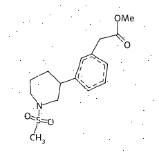 COC(=O)Cc1cccc(C2CCCN(S(C)(=O)=O)C2)c1